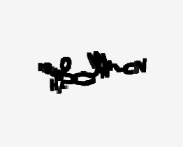 CCCCOC(=O)c1cc(-c2nnn(CCC#N)n2)ccc1C